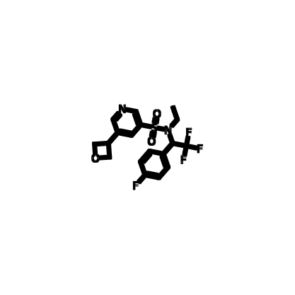 CCN(C(c1ccc(F)cc1)C(F)(F)F)S(=O)(=O)c1cncc(C2COC2)c1